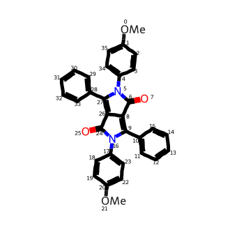 COc1ccc(N2C(=O)C3=C(c4ccccc4)N(c4ccc(OC)cc4)C(=O)C3=C2c2ccccc2)cc1